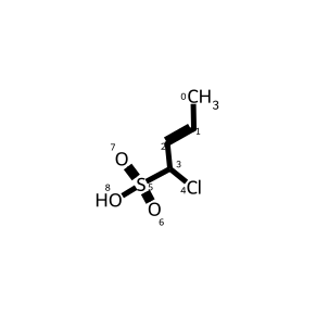 CC=CC(Cl)S(=O)(=O)O